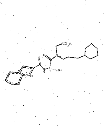 CCCC[C@H](NC(=O)c1cc2ccccc2[nH]1)C(=O)N(CCCC1CCCCC1)CC(=O)O